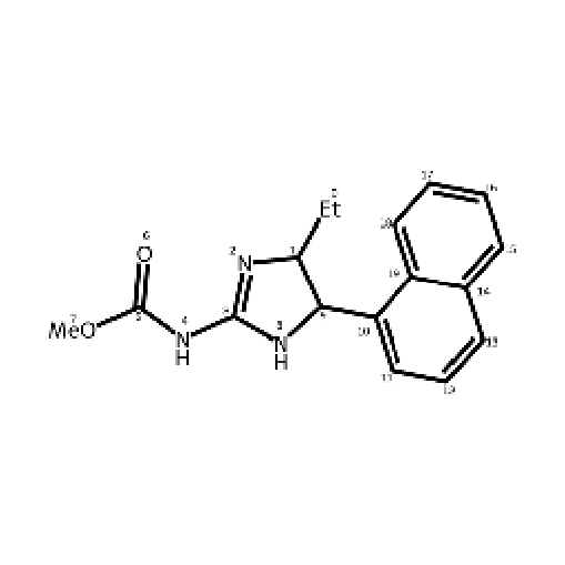 CCC1N=C(NC(=O)OC)NC1c1cccc2ccccc12